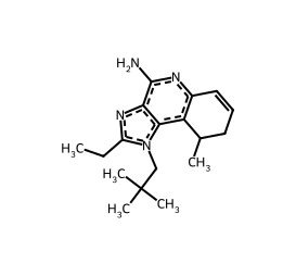 CCc1nc2c(N)nc3c(c2n1CC(C)(C)C)C(C)CC=C3